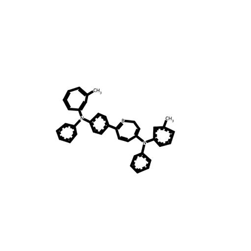 CC1=CC=C=CC(N(c2ccccc2)c2ccc(C3=BCC=C(N(c4ccccc4)c4cccc(C)c4)C=C3)cc2)=C1